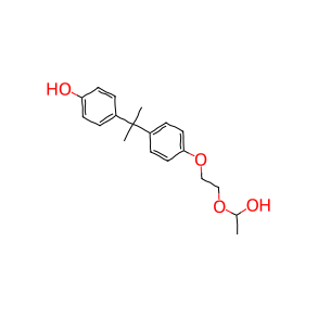 CC(O)OCCOc1ccc(C(C)(C)c2ccc(O)cc2)cc1